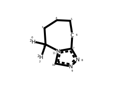 [2H]C1([2H])CCCCc2nncn21